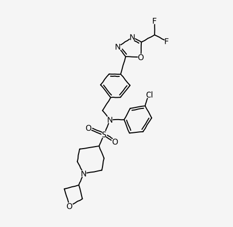 O=S(=O)(C1CCN(C2COC2)CC1)N(Cc1ccc(-c2nnc(C(F)F)o2)cc1)c1cccc(Cl)c1